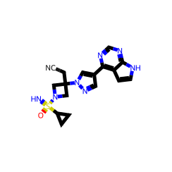 N#CCC1(n2cc(-c3ncnc4[nH]ccc34)cn2)CN(S(=N)(=O)C2CC2)C1